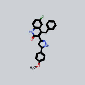 COc1ccc(C2CC(c3c(Cc4ccccc4)c4cc(Cl)ccc4[nH]c3=O)=NN2)cc1